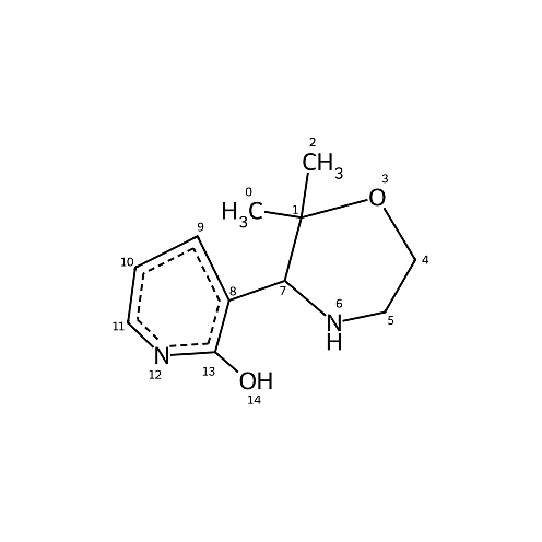 CC1(C)OCCNC1c1cccnc1O